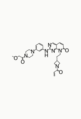 C=CC(=O)N1CC(CCn2c(=O)ccc3cnc(Nc4cccc(N5CCN(C(=O)COC)CC5)c4)nc32)C1